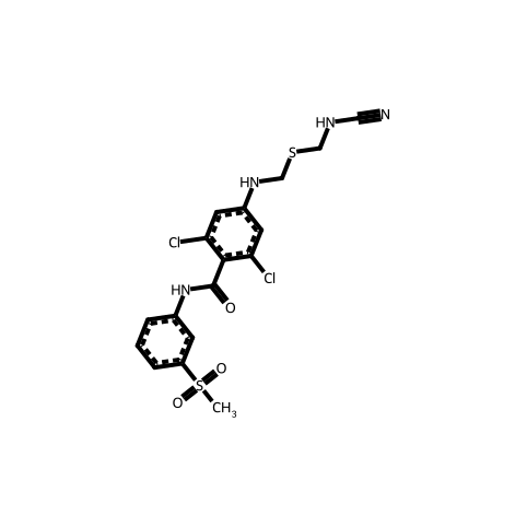 CS(=O)(=O)c1cccc(NC(=O)c2c(Cl)cc(NCSCNC#N)cc2Cl)c1